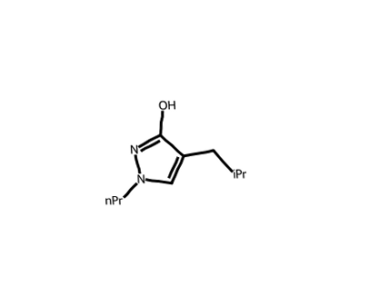 CCCn1cc(CC(C)C)c(O)n1